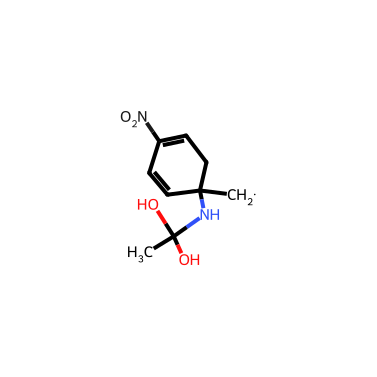 [CH2]C1(NC(C)(O)O)C=CC([N+](=O)[O-])=CC1